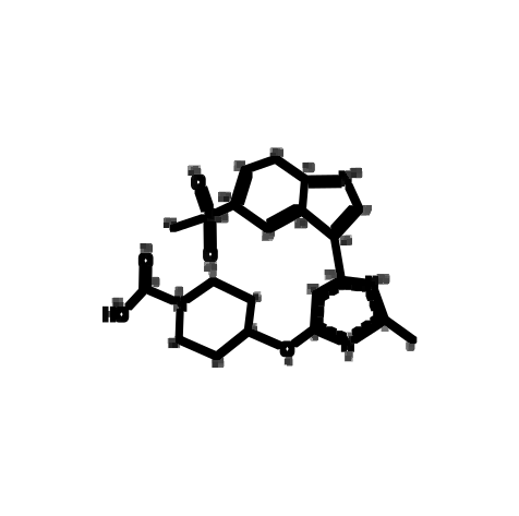 Cc1nc(OC2CCN(C(=O)O)CC2)cc(C2=CN=C3CC=C(S(C)(=O)=O)C=C23)n1